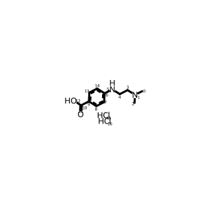 CN(C)CCNc1ccc(C(=O)O)cc1.Cl.Cl